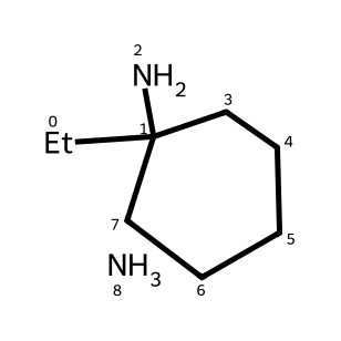 CCC1(N)CCCCC1.N